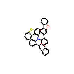 c1ccc(N(c2ccccc2-c2ccc3c(c2)oc2ccccc23)c2cccc3sc4ccccc4c23)c(-c2ccc3ccccc3c2)c1